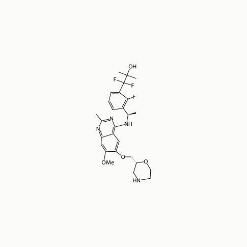 COc1cc2nc(C)nc(N[C@H](C)c3cccc(C(F)(F)C(C)(C)O)c3F)c2cc1OC[C@H]1CNCCO1